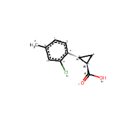 Cc1ccc([C@@H]2C[C@H]2C(=O)O)c(Cl)c1